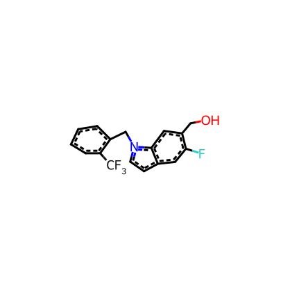 OCc1cc2c(ccn2Cc2ccccc2C(F)(F)F)cc1F